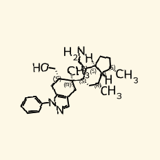 C[C@@H]1C[C@H]([C@@]2(C)Cc3cnn(-c4ccccc4)c3C[C@@H]2CO)[C@@H](CN)[C@H]2CC[C@H](C)[C@@H]21